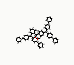 c1ccc(-c2ccc(N(c3ccc(-c4ccccc4)cc3)c3cc4c5c(cccc5c3)-c3c(cccc3N(c3ccc(-c5ccccc5)cc3)c3ccc(-c5ccccc5)cc3)O4)cc2)cc1